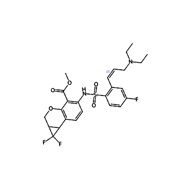 CCN(CC)C/C=C\c1cc(F)ccc1S(=O)(=O)Nc1ccc2c(c1C(=O)OC)OCC1C2C1(F)F